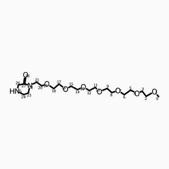 COCCOCCOCCOCCOCCOCCOCCN1CCNCC1=O